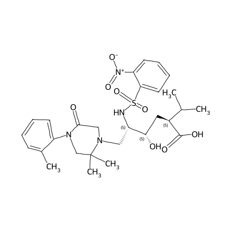 Cc1ccccc1N1CC(C)(C)N(C[C@H](NS(=O)(=O)c2ccccc2[N+](=O)[O-])[C@@H](O)C[C@H](C(=O)O)C(C)C)CC1=O